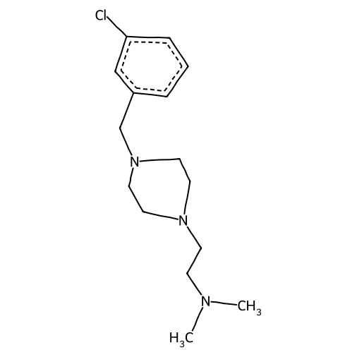 CN(C)CCN1CCN(Cc2cccc(Cl)c2)CC1